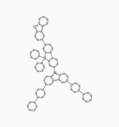 c1ccc(-c2ccc(-c3ccc4c(c3)c3cc(-c5ccc(-c6ccccc6)cc5)ccc3n4-c3ccc4c(c3)[Si](c3ccccc3)(c3ccccc3)c3cc(-c5ccc6oc7ccccc7c6c5)ccc3-4)cc2)cc1